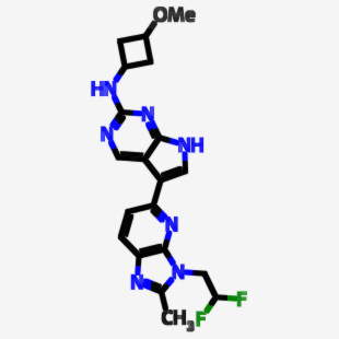 COC1CC(Nc2ncc3c(-c4ccc5nc(C)n(CC(F)F)c5n4)c[nH]c3n2)C1